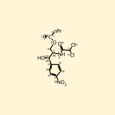 CCC[14C](=O)OC[C@@H](NC(=O)C(Cl)Cl)[C@H](O)c1ccc([N+](=O)[O-])cc1